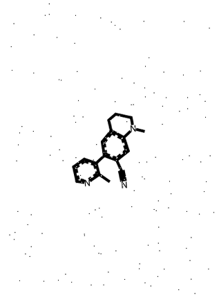 Cc1ncccc1-c1cc2c(cc1C#N)N(C)CCC2